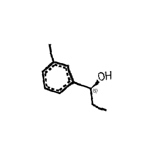 CC[C@H](O)c1cccc(C)c1